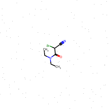 CCN(CC)C(=O)C(Br)C#N